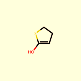 OC1=CCCS1